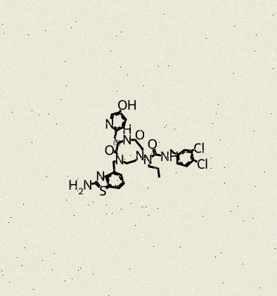 CCCN(C(=O)NCc1ccc(Cl)c(Cl)c1)N1CCN(Cc2cccc3sc(N)nc23)C(=O)[C@H](Cc2ccc(O)cn2)NC(=O)C1